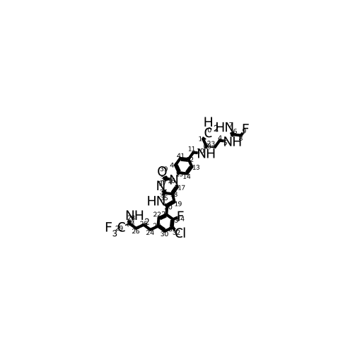 C=C[C@@H](CCNC(=N)CF)NCc1ccc(-n2cc3cc(-c4cc(CCC[C@@H](N)C(F)(F)F)cc(Cl)c4F)[nH]c3nc2=O)cc1